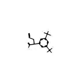 C=CC[C@](C)(C(=O)O)c1cc(C(F)(F)F)cc(C(F)(F)F)c1